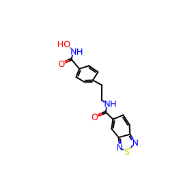 O=C(NO)c1ccc(CCNC(=O)c2ccc3nsnc3c2)cc1